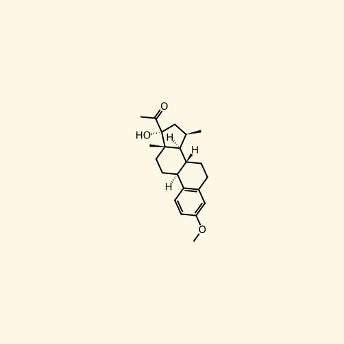 COc1ccc2c(c1)CC[C@H]1[C@@H]3[C@H](C)C[C@](O)(C(C)=O)[C@@]3(C)CC[C@H]21